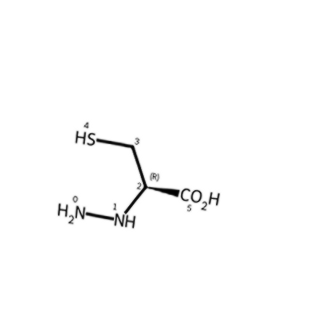 NN[C@@H](CS)C(=O)O